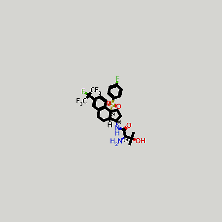 CC(C)(O)[C@@H](N)C(=O)N[C@@H]1CC[C@@]2(S(=O)(=O)c3ccc(F)cc3)c3ccc(C(F)(C(F)(F)F)C(F)(F)F)cc3CC[C@@H]12